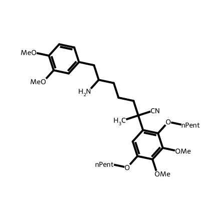 CCCCCOc1cc(C(C)(C#N)CCCC(N)Cc2ccc(OC)c(OC)c2)c(OCCCCC)c(OC)c1OC